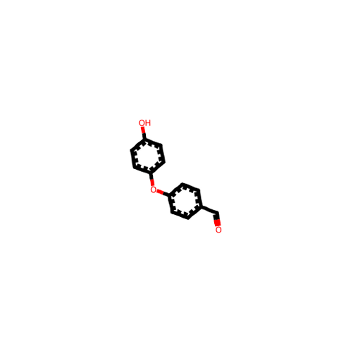 O=Cc1ccc(Oc2ccc(O)cc2)cc1